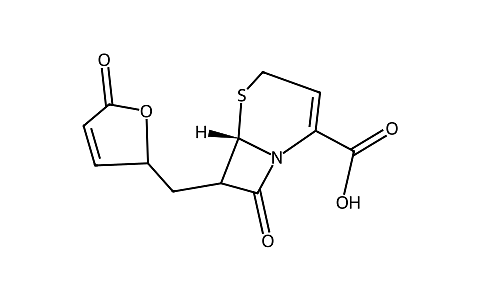 O=C1C=CC(CC2C(=O)N3C(C(=O)O)=CCS[C@@H]23)O1